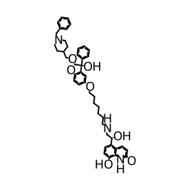 O=C(OCC1CCN(Cc2ccccc2)CC1)[C@](O)(c1ccccc1)c1cccc(OCCCCCCCNC[C@H](O)c2ccc(O)c3[nH]c(=O)ccc23)c1